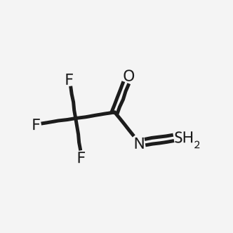 O=C(N=[SH2])C(F)(F)F